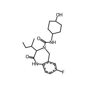 CCC(C)C1C(=O)Nc2ccc(F)cc2CN1C(=O)NC1CCC(O)CC1